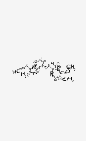 C#CCc1c(C)nc2c(OCc3ncc(C)c(OC)c3C)cccn12